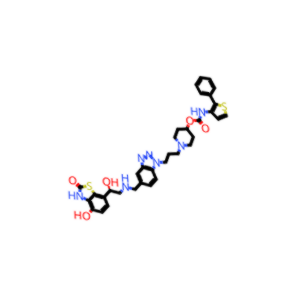 O=C(Nc1ccsc1-c1ccccc1)OC1CCN(CCCn2nnc3cc(CNC[C@H](O)c4ccc(O)c5[nH]c(=O)sc45)ccc32)CC1